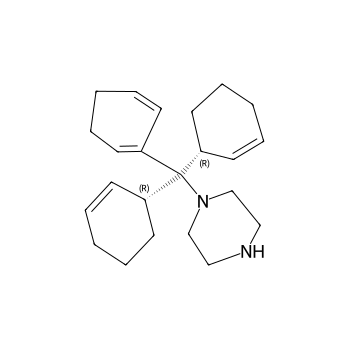 C1=CC(C([C@H]2C=CCCC2)([C@H]2C=CCCC2)N2CCNCC2)=CCC1